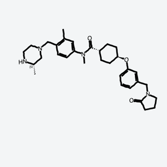 Cc1cc(N(C)C(=O)[C@H]2CC[C@H](Oc3cccc(CN4CCCC4=O)c3)CC2)ccc1CN1CCN[C@@H](C)C1